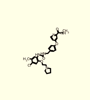 CNC(=O)c1cc(Oc2ccc(CNC(=O)Nc3cc(C)c(Cl)cc3OCCN3CCCC3)cc2)ccn1